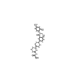 C[C@@H](Nc1cc(C2CCN(C3CCCN(CC(=O)O)C3)CC2)ccc1Cl)c1ccc(Cl)cc1Cl